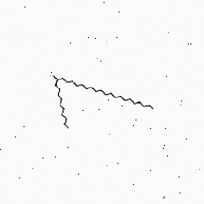 [CH2]C(CCCCCCCCCC)CCCCCCCCCCCCCCCCCCCC